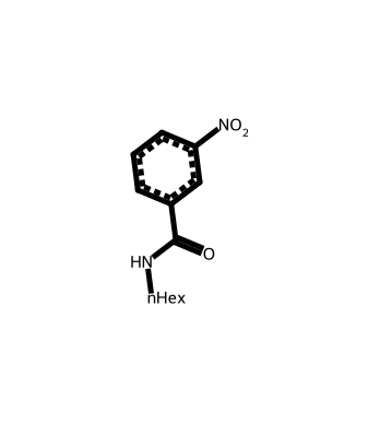 CCCCCCNC(=O)c1cccc([N+](=O)[O-])c1